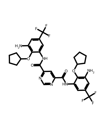 Nc1cc(C(F)(F)F)cc(NC(=O)c2cc(C(=O)Nc3cc(C(F)(F)F)cc(N)c3OC3CCCC3)ncn2)c1OC1CCCC1